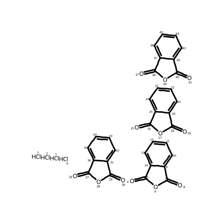 Cl.Cl.Cl.Cl.O=C1OC(=O)c2ccccc21.O=C1OC(=O)c2ccccc21.O=C1OC(=O)c2ccccc21.O=C1OC(=O)c2ccccc21